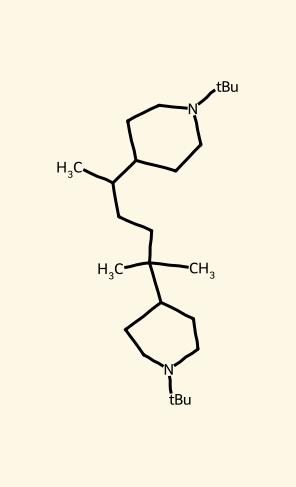 CC(CCC(C)(C)C1CCN(C(C)(C)C)CC1)C1CCN(C(C)(C)C)CC1